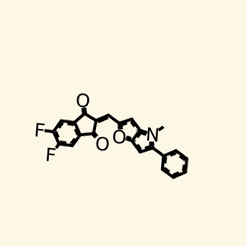 Cn1c(-c2ccccc2)cc2oc(C=C3C(=O)c4cc(F)c(F)cc4C3=O)cc21